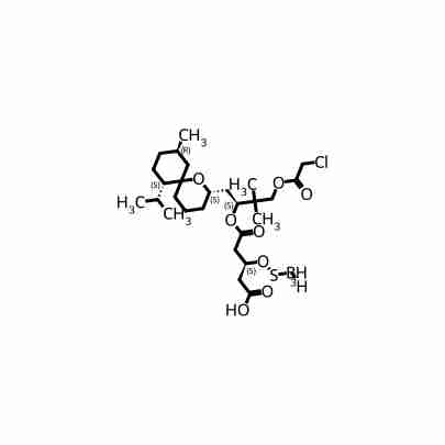 [3H]BSO[C@@H](CC(=O)O)CC(=O)O[C@@H](C[C@@H]1CCCC2(C[C@H](C)CC[C@H]2C(C)C)O1)C(C)(C)COC(=O)CCl